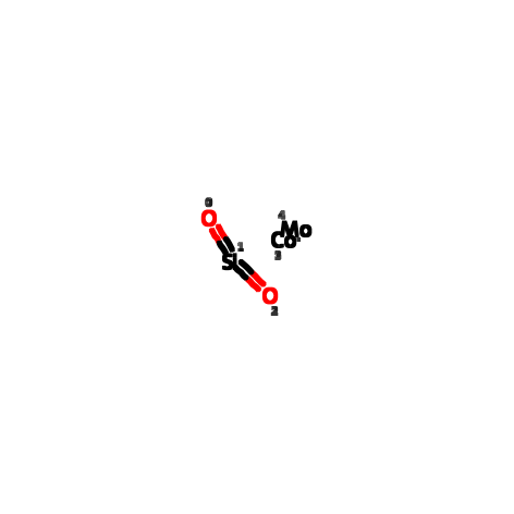 O=[Si]=O.[Co].[Mo]